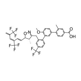 C=C(/C=C(\C=C\C1ON=C(Cc2cc(C(F)(F)F)ccc2-c2cc(-c3ccc(C(=O)O)cc3C)ccc2OC)[C@@H]1C)C(F)(F)F)C(F)(F)F